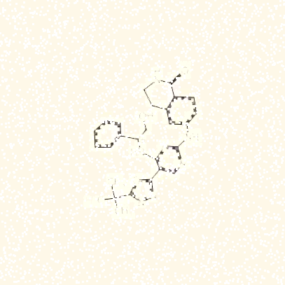 CC(C)(C)c1nnc(-c2cnc(Nc3ccc4c(c3)CCNC4=O)nc2N[C@H](CO)c2ccccc2)o1